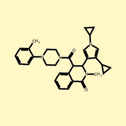 Cc1ccccc1N1CCN(C(=O)C2c3ccccc3C(=O)N(C)C2c2cn(C3CC3)cc2C2CC2)CC1